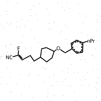 CCCc1ccc(COC2CCC(CCC=C(F)C#N)CC2)cc1